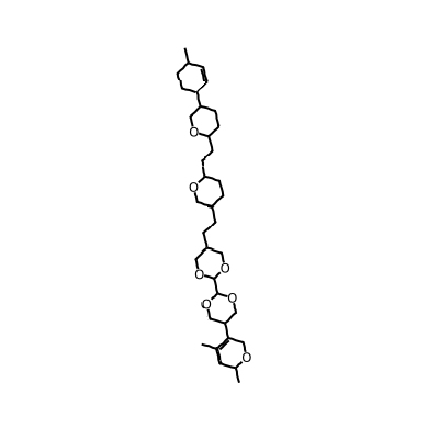 CC1=C(C2COC(C3OCC(CCC4CCC(CCC5CCC(C6C=CC(C)CC6)CO5)OC4)CO3)OC2)COC(C)C1